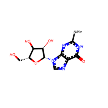 CNc1nc2c(ncn2[C@@H]2O[C@H](CO)C(O)[C@@H]2O)c(=O)[nH]1